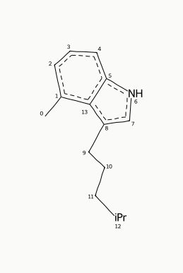 Cc1cccc2[nH]cc(CCCC(C)C)c12